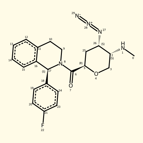 CN[C@@H]1CO[C@@H](C(=O)N2CCc3ccccc3[C@@H]2c2ccc(F)cc2)C[C@@H]1N=[N+]=[N-]